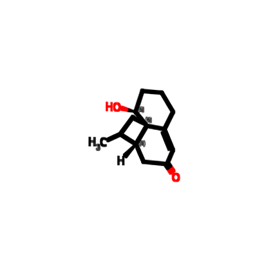 CC1C[C@@]23C(=CC(=O)C[C@H]12)CCC[C@@H]3O